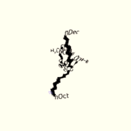 CCCCCCCC/C=C\CCCCCCCC(=O)O[C@@H](CO)C(OP(=O)([O-])OCC[N+](C)(C)C)C(=O)CCCCCCCCCCCCCCCCC